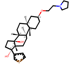 C[C@]12CC[C@H](OCCN3CCCC3)C[C@@H]1CC[C@@H]1[C@@H]2CC[C@]2(C)[C@@](O)(c3ccsc3)CC[C@]12O